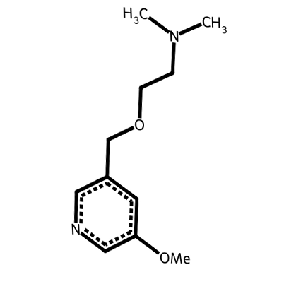 COc1cncc(COCCN(C)C)c1